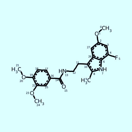 COc1cc(F)c2[nH]c(C)c(CCNC(=O)c3ccc(OC)c(OC)c3)c2c1